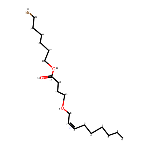 CCCCCC/C=C\COCCCC(=O)OCCCCCCBr